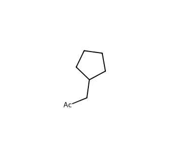 CC(=O)CC1CCCC1